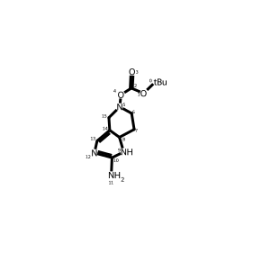 CC(C)(C)OC(=O)ON1CCC2NC(N)=NC=C2C1